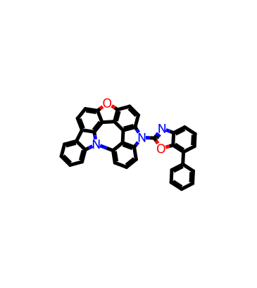 c1ccc(-c2cccc3nc(-n4c5ccc6oc7ccc8c9ccccc9n9c%10cccc4c%10c5c6c7c89)oc23)cc1